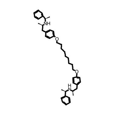 C[C@H](Cc1ccc(OCCCCCCCCCOc2ccc(C[C@@H](C)N[C@H](C)c3ccccc3)cc2)cc1)N[C@H](C)c1ccccc1